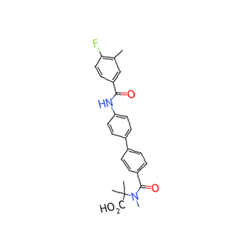 Cc1cc(C(=O)Nc2ccc(-c3ccc(C(=O)N(C)C(C)(C)C(=O)O)cc3)cc2)ccc1F